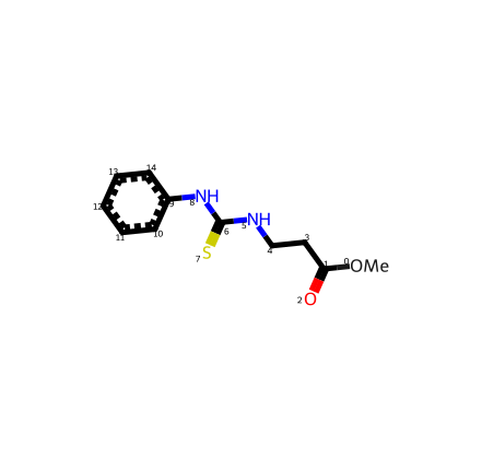 COC(=O)CCNC(=S)Nc1ccccc1